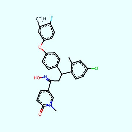 Cc1cc(Cl)ccc1C(CC(=NO)c1ccc(=O)n(C)c1)c1ccc(Oc2ccc(F)c(C(=O)O)c2)cc1